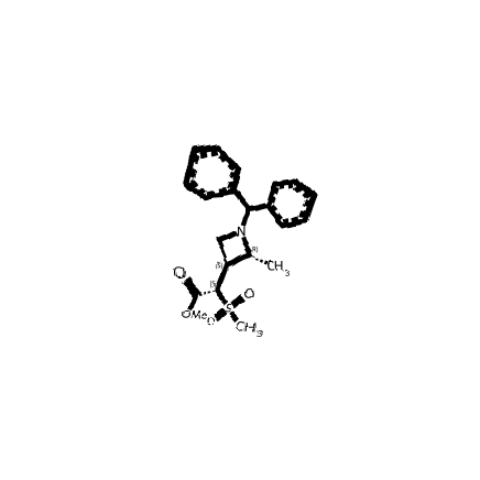 COC(=O)[C@H]([C@H]1CN(C(c2ccccc2)c2ccccc2)[C@@H]1C)S(C)(=O)=O